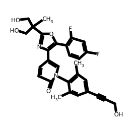 Cc1cc(C#CCO)cc(C)c1-n1cc(-c2nc(C(C)(CO)CO)oc2-c2ccc(F)cc2F)ccc1=O